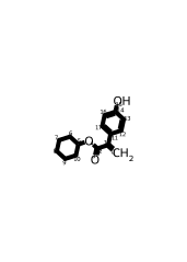 C=C(C(=O)OC1CCCCC1)c1ccc(O)cc1